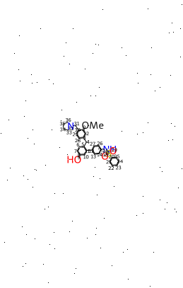 COc1cc(Cc2ccc(O)cc2-c2ccc(NS(=O)(=O)c3ccccc3)cc2)ccc1CN1CCCC1